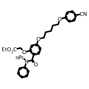 CCCN(C(=O)c1ccc(OCCCCCOc2ccc(C#N)cc2)cc1OCC(=O)OCC)c1ccccc1